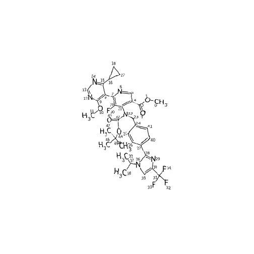 COC(=O)c1cnc(-c2c(OC)ncnc2C2CC2)c(F)c1N(Cc1ccc(-c2nc(C(F)(F)F)cn2C(C)C)cc1)C(=O)OC(C)(C)C